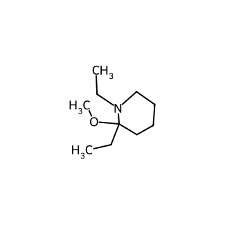 CCN1CCCCC1(CC)OC